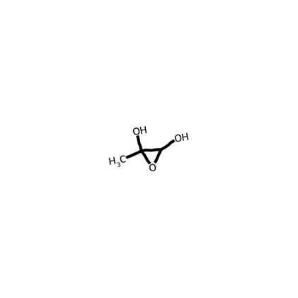 CC1(O)OC1O